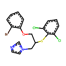 Clc1cccc(Cl)c1SC(COc1ccccc1Br)Cn1ccnc1